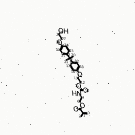 C=C(C)C(=O)OCCNC(=O)OCCOc1ccc(C(C)(C)c2ccc(OCCO)cc2)cc1